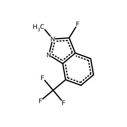 Cn1nc2c(C(F)(F)F)cccc2c1F